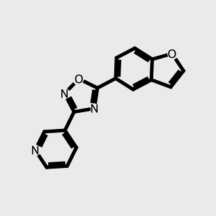 c1cncc(-c2noc(-c3ccc4occc4c3)n2)c1